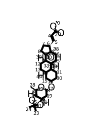 COC(=O)/C=C/[C@H]1CC[C@]2(O)[C@@H]3CC[C@@H]4C[C@@H](O[C@@H]5C[C@@H]6OC(C)(C)O[C@@H]6[C@@H](C)O5)CC[C@]4(C)[C@H]3CC[C@]12C